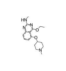 CCOc1nc(NC)nc2cccc(OC3CCN(C)CC3)c12